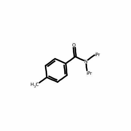 Cc1ccc(C(=O)N(C(C)C)C(C)C)cc1